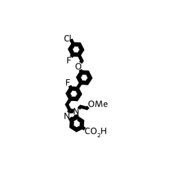 COCCn1c(Cc2ccc(-c3cccc(OCc4ccc(Cl)cc4F)c3)c(F)c2)nc2ccc(C(=O)O)cc21